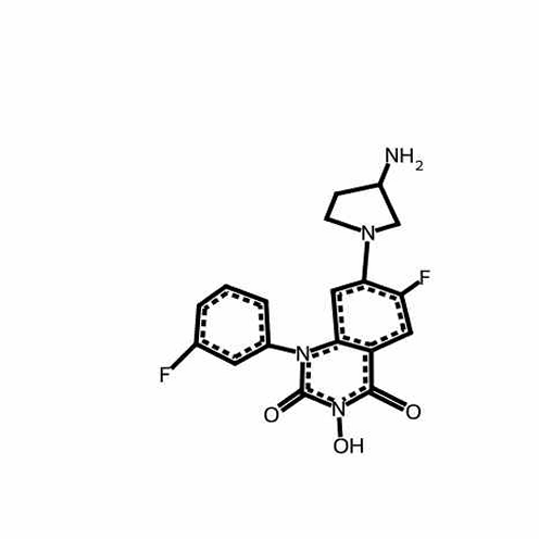 NC1CCN(c2cc3c(cc2F)c(=O)n(O)c(=O)n3-c2cccc(F)c2)C1